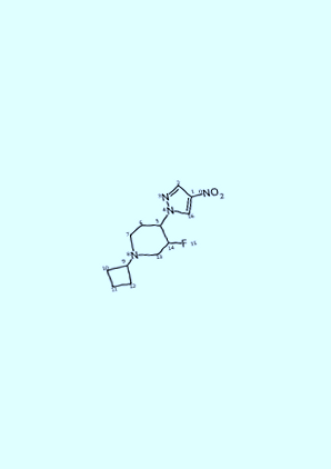 O=[N+]([O-])c1cnn(C2CCN(C3CCC3)CC2F)c1